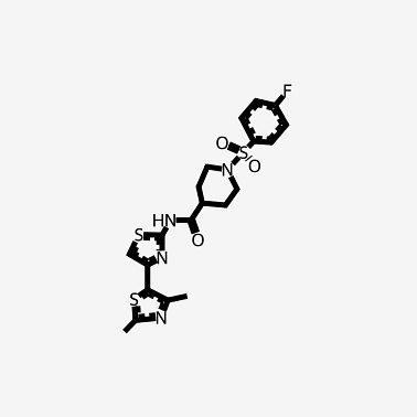 Cc1nc(C)c(-c2csc(NC(=O)C3CCN(S(=O)(=O)c4ccc(F)cc4)CC3)n2)s1